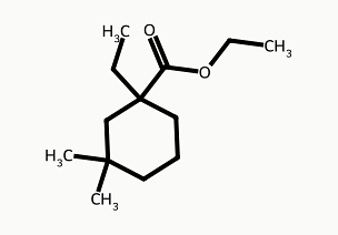 CCOC(=O)C1(CC)CCCC(C)(C)C1